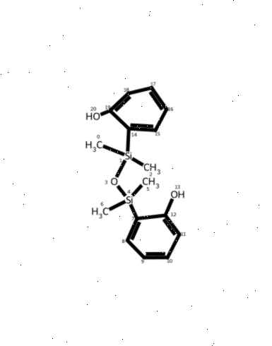 C[Si](C)(O[Si](C)(C)c1ccccc1O)c1ccccc1O